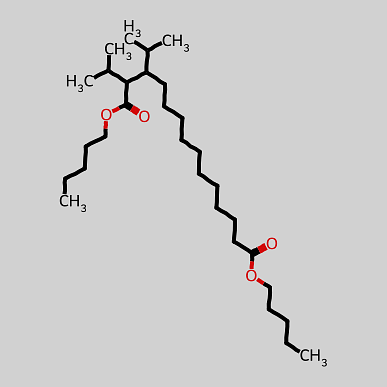 CCCCCOC(=O)CCCCCCCCCCC(C(C)C)C(C(=O)OCCCCC)C(C)C